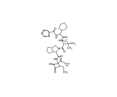 CCC1C(=O)C(=O)C1(NC(=O)C1C2CCCC2CN1C(=O)C(NC(=O)C(NC(=O)c1cnccn1)C1CCCCC1)C(C)(C)C)NC1CC1